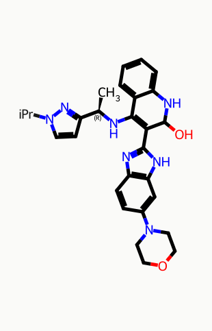 CC(C)n1ccc([C@@H](C)NC2=C(c3nc4ccc(N5CCOCC5)cc4[nH]3)C(O)Nc3ccccc32)n1